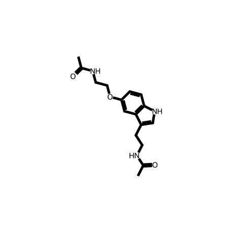 CC(=O)NCCOc1ccc2[nH]cc(CCNC(C)=O)c2c1